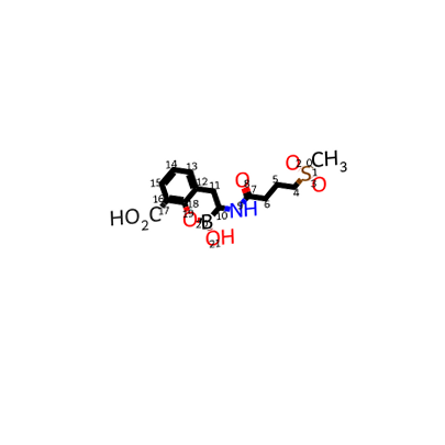 CS(=O)(=O)CCCC(=O)NC1Cc2cccc(C(=O)O)c2OB1O